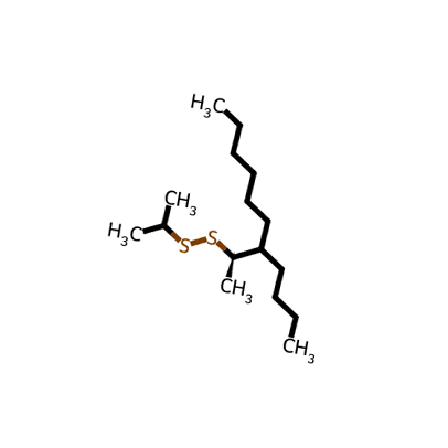 CCCCCCC(CCCC)[C@@H](C)SSC(C)C